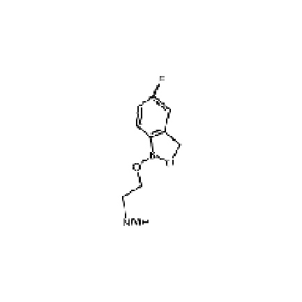 CNCCOB1OCc2cc(F)ccc21